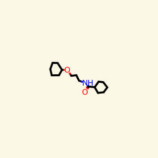 O=C(NCCCOC1CCCCC1)C1CCCCC1